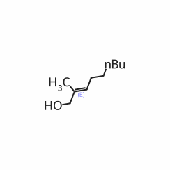 CCCCCC/C=C(\C)CO